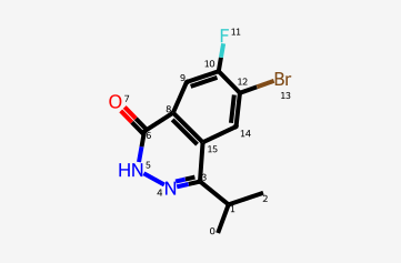 CC(C)c1n[nH]c(=O)c2cc(F)c(Br)cc12